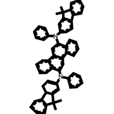 CC1(C)C2=CC(N(c3ccccc3)c3cc4c5ccccc5c(N(c5ccccc5)c5ccc6c(c5)C(C)(C)c5ccccc5-6)cc4c4ccccc34)=CCC2c2ccccc21